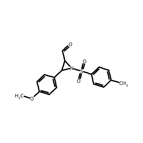 COc1ccc(C2C(C=O)N2S(=O)(=O)c2ccc(C)cc2)cc1